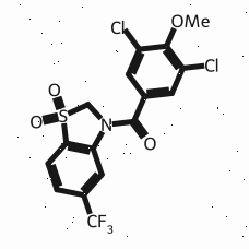 COc1c(Cl)cc(C(=O)N2CS(=O)(=O)c3ccc(C(F)(F)F)cc32)cc1Cl